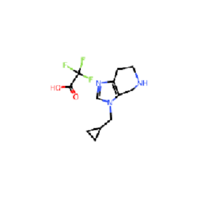 O=C(O)C(F)(F)F.c1nc2c(n1CC1CC1)CNCC2